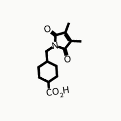 CC1=C(C)C(=O)N(CC2CCC(C(=O)O)CC2)C1=O